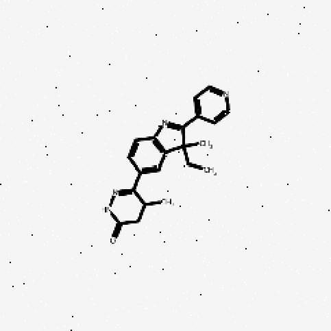 CCC1(C)C(c2ccncc2)=Nc2ccc(C3=NNC(=O)CC3C)cc21